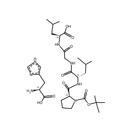 CC(C)C[C@H](NC(=O)CNC(=O)[C@H](CC(C)C)NC(=O)[C@@H]1CCCN1C(=O)OC(C)(C)C)C(=O)O.N[C@@H](Cc1c[nH]cn1)C(=O)O